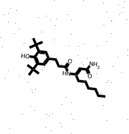 CCCCCCC(=CC(N)=O)NC(=O)CCc1cc(C(C)(C)C)c(O)c(C(C)(C)C)c1